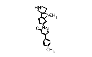 Cc1ccc(-c2cnn(-c3ccc4c5c(n(C)c4c3)CCNC5)c(=O)c2)cc1